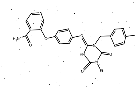 CCn1c(=O)[nH]/c(=N\c2ccc(Oc3ccccc3C(N)=O)cc2)n(Cc2ccc(Cl)cc2)c1=O